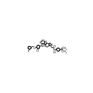 CN(C)c1ccc(NC(=O)Cn2ncc3c2CCc2c-3sc3ncnc(Nc4ccc(OCc5cccc(F)c5)c(Cl)c4)c23)cc1